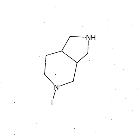 IN1CCC2CNCC2C1